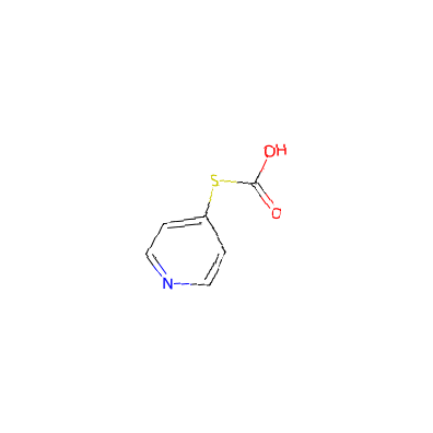 O=C(O)Sc1ccncc1